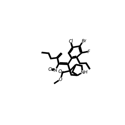 C=C(CCC)/C(N=O)=C(\c1cc(Cl)c(Br)c(F)c1CCC)C1(C(=O)OC)CC2CC1CN2